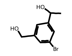 CC(O)c1cc(Br)cc(CO)c1